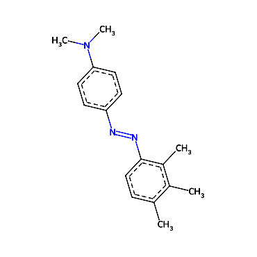 Cc1ccc(/N=N/c2ccc(N(C)C)cc2)c(C)c1C